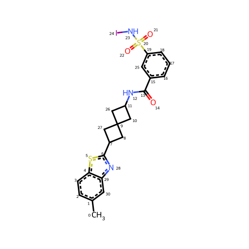 Cc1ccc2sc(C3CC4(CC(NC(=O)c5cccc(S(=O)(=O)NI)c5)C4)C3)nc2c1